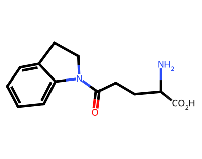 NC(CCC(=O)N1CCc2ccccc21)C(=O)O